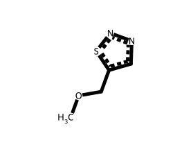 COCc1cnns1